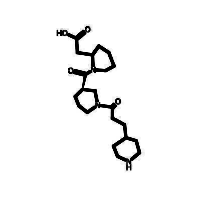 O=C(O)CC1CCCCN1C(=O)[C@@H]1CCCN(C(=O)CCC2CCNCC2)C1